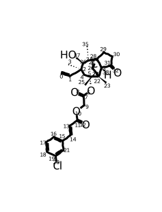 C=C[C@]1(C)C[C@@H](OC(=O)COC(=O)/C=C/c2cccc(Cl)c2)[C@]2(C)[C@H](C)CC[C@]3(CCC(=O)[C@H]32)[C@@H](C)[C@@H]1O